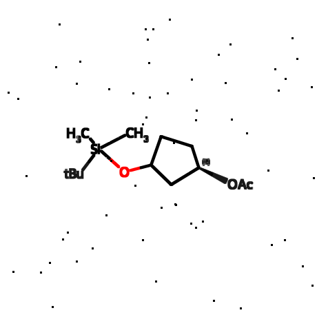 CC(=O)O[C@@H]1CCC(O[Si](C)(C)C(C)(C)C)C1